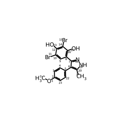 COc1ccc(-c2c(-c3cc(Br)c(O)c(Br)c3O)n[nH]c2C)cc1